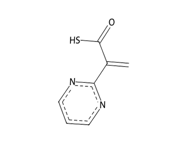 C=C(C(=O)S)c1ncccn1